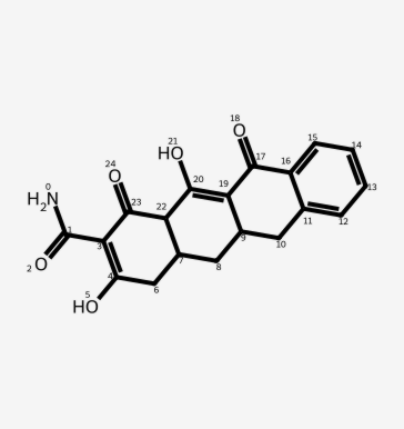 NC(=O)C1=C(O)CC2CC3Cc4ccccc4C(=O)C3=C(O)C2C1=O